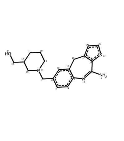 NC1=Nc2ccc(CN3CCCC(CO)C3)cc2Cc2ccsc21